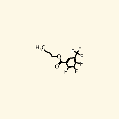 CCCCOC(=O)c1cc(C(F)(F)F)c(F)c(F)c1F